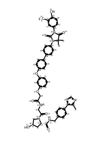 Cc1ncsc1-c1ccc(CNC(=O)[C@@H]2C[C@@H](O)CN2C(=O)CNC(=O)COc2cccc(Oc3ccc(-c4ccc(N5C(=S)N(c6ccc(C#N)c(C(F)(F)F)c6)C(=O)C5(C)C)cc4)cc3)c2)cc1